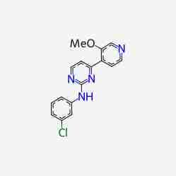 COc1cnccc1-c1ccnc(Nc2cccc(Cl)c2)n1